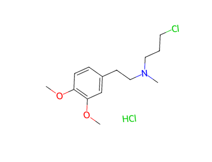 COc1ccc(CCN(C)CCCCl)cc1OC.Cl